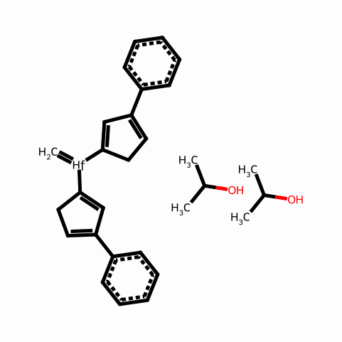 CC(C)O.CC(C)O.[CH2]=[Hf]([C]1=CC(c2ccccc2)=CC1)[C]1=CC(c2ccccc2)=CC1